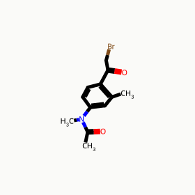 CC(=O)N(C)c1ccc(C(=O)CBr)c(C)c1